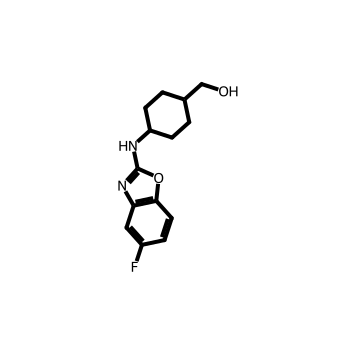 OCC1CCC(Nc2nc3cc(F)ccc3o2)CC1